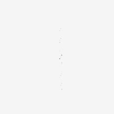 CCCCCCCCC(CF)CCCCCCC